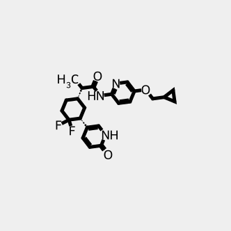 CC(C(=O)Nc1ccc(OCC2CC2)cn1)[C@H]1CCC(F)(F)[C@@H](c2ccc(=O)[nH]c2)C1